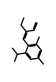 C=C/C(=C\c1c(C)cc(C)cc1C(C)C)CC